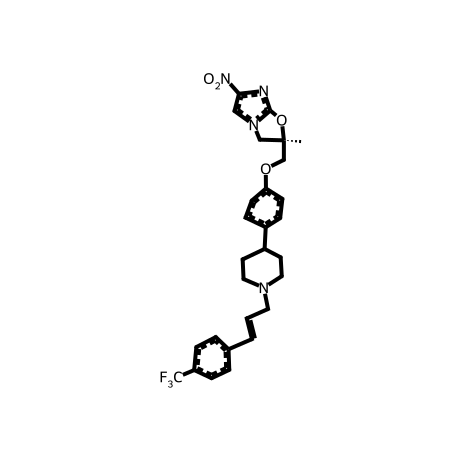 C[C@]1(COc2ccc(C3CCN(C/C=C/c4ccc(C(F)(F)F)cc4)CC3)cc2)Cn2cc([N+](=O)[O-])nc2O1